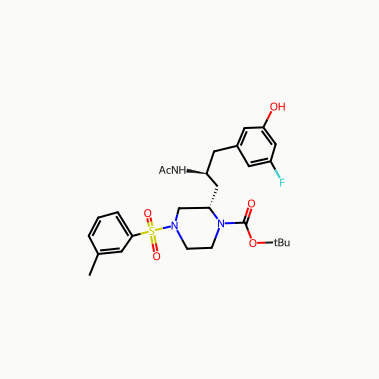 CC(=O)N[C@@H](Cc1cc(O)cc(F)c1)C[C@H]1CN(S(=O)(=O)c2cccc(C)c2)CCN1C(=O)OC(C)(C)C